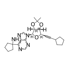 CC1(C)O[C@@H]2[C@H](O1)[C@@H](C#CC1CCCC1)O[C@H]2n1cnc2c(C3(N)CCCC3)ncnc21